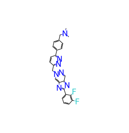 CN(C)Cc1ccc(-c2ccc(Cn3cc4nc(-c5cccc(F)c5F)nc-4cn3)nn2)cc1